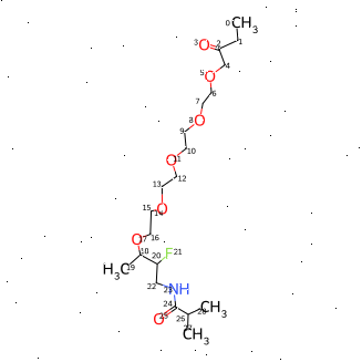 CCC(=O)COCCOCCOCCOCCOC(C)C(F)CNC(=O)C(C)C